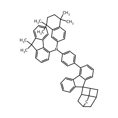 CC1(C)CCC(C)(C)c2cc(N(c3ccc(-c4cccc5c4-c4ccccc4C54C5CC6CC7CC4C75C6)cc3)c3cccc4c3-c3ccccc3C4(C)C)ccc21